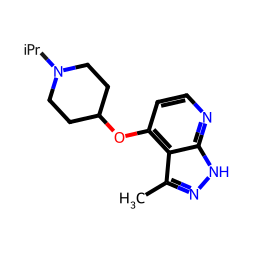 Cc1n[nH]c2nccc(OC3CCN(C(C)C)CC3)c12